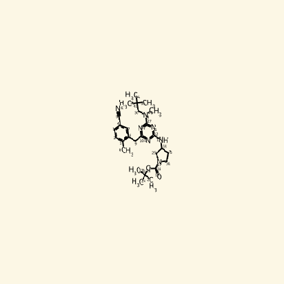 Cc1ccc(C#N)cc1Cc1nc(NC2CCN(C(=O)OC(C)(C)C)C2)nc(N(C)CC(C)(C)C)n1